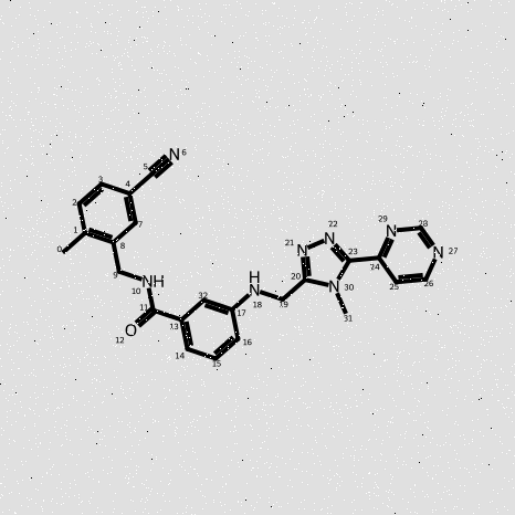 Cc1ccc(C#N)cc1CNC(=O)c1cccc(NCc2nnc(-c3ccncn3)n2C)c1